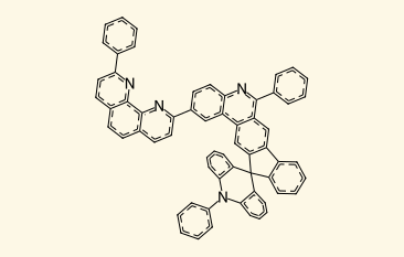 c1ccc(-c2ccc3ccc4ccc(-c5ccc6nc(-c7ccccc7)c7cc8c(cc7c6c5)C5(c6ccccc6-8)c6ccccc6N(c6ccccc6)c6ccccc65)nc4c3n2)cc1